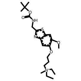 CC[N+](C)(CC)CCCOc1cc2nc(CNC(=O)OC(C)(C)C)sc2cc1OC